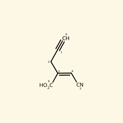 C#CC/C(=C/C#N)C(=O)O